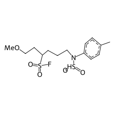 COCCC(CCCN(c1ccc(C)cc1)[SH](=O)=O)S(=O)(=O)F